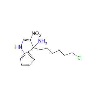 NC1(CCCCCCCl)C([N+](=O)[O-])=CNc2ccccc21